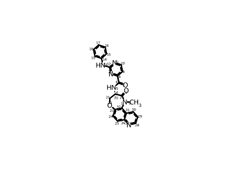 CN1C(=O)[C@@H](NC(=O)c2ccnc(Nc3ccccc3)n2)COc2ccc3ncccc3c21